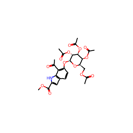 COC(=O)c1cc2ccc(O[C@@H]3O[C@H](COC(C)=O)[C@H](OC(C)=O)[C@H](OC(C)=O)[C@H]3OC(C)=O)c(C(C)=O)c2[nH]1